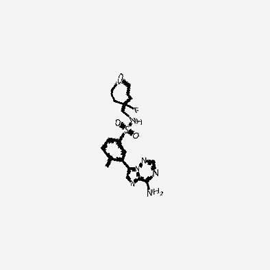 Cc1ccc(S(=O)(=O)NCC2(F)CCOCC2)cc1-c1cnc2c(N)ncnn12